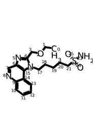 CCOCc1nc2cnc3ccccc3c2n1CCCCCS(N)(=O)=O